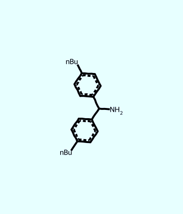 CCCCc1ccc(C(N)c2ccc(CCCC)cc2)cc1